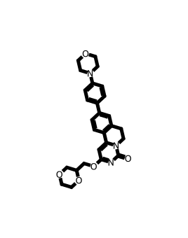 O=c1nc(OCC2COCCO2)cc2n1CCc1cc(-c3ccc(N4CCOCC4)cc3)ccc1-2